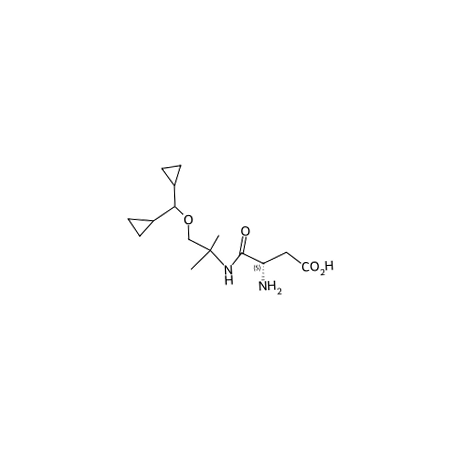 CC(C)(COC(C1CC1)C1CC1)NC(=O)[C@@H](N)CC(=O)O